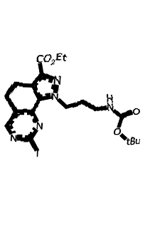 CCOC(=O)c1nn(CCCNC(=O)OC(C)(C)C)c2c1CCc1cnc(I)nc1-2